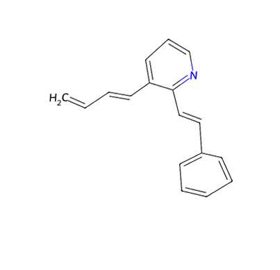 C=CC=Cc1cccnc1C=Cc1ccccc1